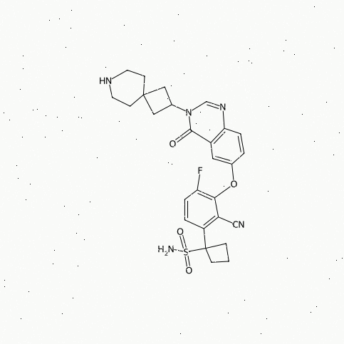 N#Cc1c(C2(S(N)(=O)=O)CCC2)ccc(F)c1Oc1ccc2ncn(C3CC4(CCNCC4)C3)c(=O)c2c1